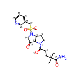 CC(C)(C[CH]C(=O)N1CCC2C1C(=O)CN2S(=O)(=O)Cc1cccnc1)C(N)=O